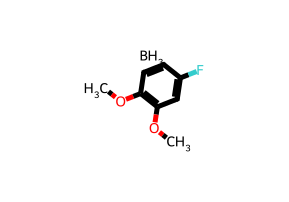 B.COc1ccc(F)cc1OC